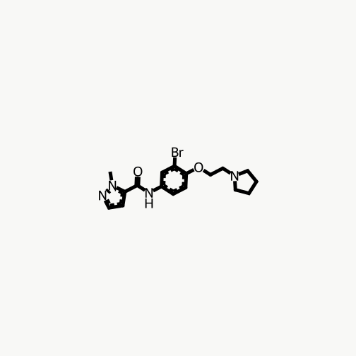 Cn1nccc1C(=O)Nc1ccc(OCCN2CCCC2)c(Br)c1